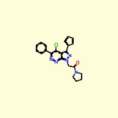 O=C(Cn1nc(C2=C=CC=C2)c2c(Cl)c(-c3ccccc3)nnc21)N1CCCC1